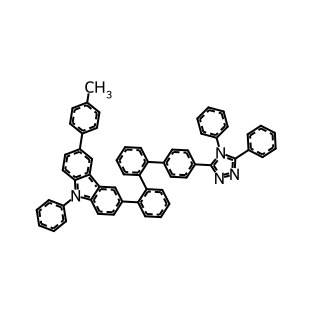 Cc1ccc(-c2ccc3c(c2)c2cc(-c4ccccc4-c4ccccc4-c4ccc(-c5nnc(-c6ccccc6)n5-c5ccccc5)cc4)ccc2n3-c2ccccc2)cc1